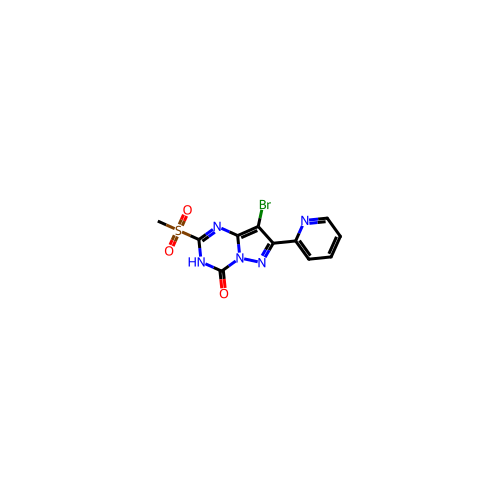 CS(=O)(=O)c1nc2c(Br)c(-c3ccccn3)nn2c(=O)[nH]1